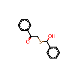 O=C(CSC(O)c1ccccc1)c1ccccc1